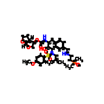 COc1ccc(S(=O)(=O)N(CC(C)C)C[C@@H](O)[C@H](Cc2ccc(CNCCP(C)(C)=O)cc2)NC(=O)O[C@H]2CO[C@H]3OCC[C@H]32)cc1